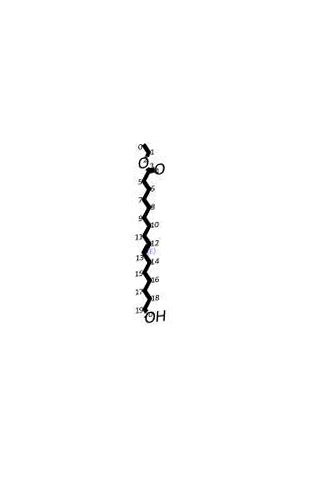 CCOC(=O)CCCCCCC/C=C/CCCCCCO